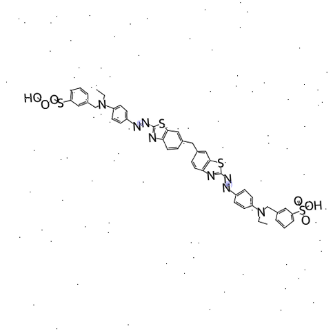 CCN(Cc1cccc(SOOO)c1)c1ccc(/N=N/c2nc3ccc(Cc4ccc5nc(/N=N/c6ccc(N(CC)Cc7cccc(S(=O)(=O)O)c7)cc6)sc5c4)cc3s2)cc1